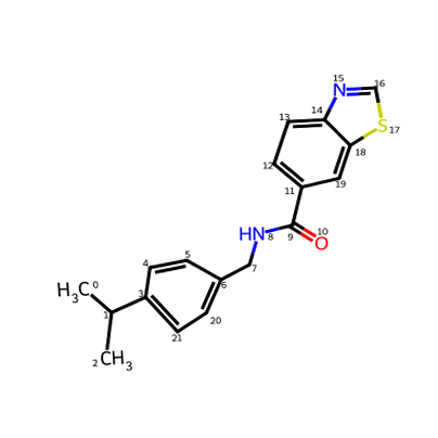 CC(C)c1ccc(CNC(=O)c2ccc3ncsc3c2)cc1